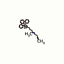 CC#CCC/C=C(\C)CCCCCP(Br)(c1ccccc1)(c1ccccc1)c1ccccc1